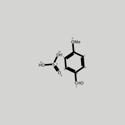 COc1ccc(C=O)cc1.O=S(O)O